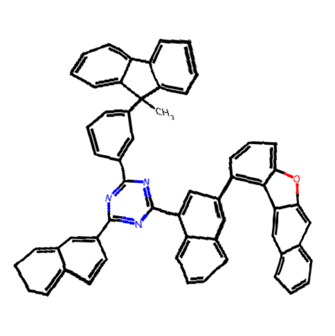 CC1(c2cccc(-c3nc(-c4ccc5c(c4)=CCCC=5)nc(-c4cc(-c5cccc6oc7cc8ccccc8cc7c56)cc5ccccc45)n3)c2)c2ccccc2-c2ccccc21